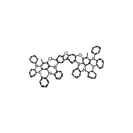 Cc1c2c3c4c5c1N(c1ccccc1)c1ccccc1B5c1ccccc1N4c1ccccc1B3c1cc3c(cc1O2)oc1cc2c(cc13)B1c3ccccc3N3c4ccccc4B4c5ccccc5N(c5ccccc5)c5c(C)c(c1c3c54)O2